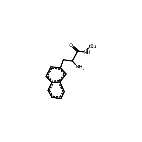 CC(C)(C)NC(=O)C(N)Cc1ccc2ccccc2c1